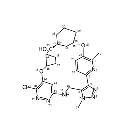 Cc1nc(-c2nnn(C)c2CNc2cc(OC3CCC3)c(Cl)nn2)ccc1O[C@H]1CCC[C@H](C(=O)O)C1